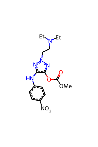 CCN(CC)CCn1nc(Nc2ccc([N+](=O)[O-])cc2)c(OC(=O)OC)n1